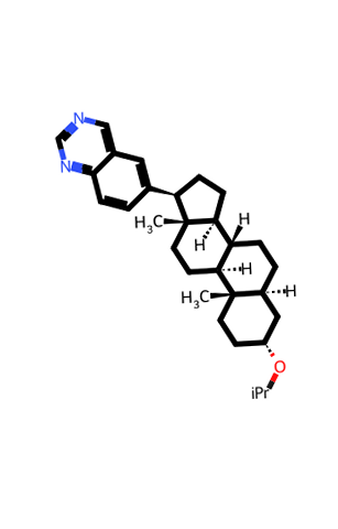 CC(C)O[C@@H]1CC[C@@]2(C)[C@@H](CC[C@@H]3[C@@H]2CC[C@]2(C)[C@@H](c4ccc5ncncc5c4)CC[C@@H]32)C1